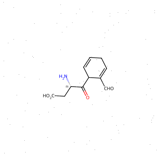 N[C@@H](CC(=O)O)C(=O)C1C=CCC=C1C=O